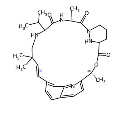 CC1NC(=O)C(C(C)C)NCC(C)(C)/C=C/c2ccc3ccc(nc3c2)[C@@H](C)OC(=O)C2CCCN(N2)C1=O